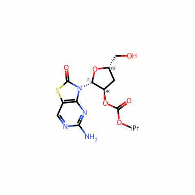 CC(C)OC(=O)O[C@@H]1C[C@@H](CO)O[C@H]1n1c(=O)sc2cnc(N)nc21